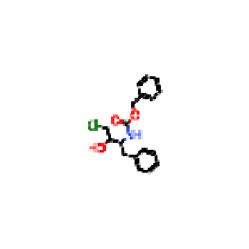 O=C(NC(Cc1ccccc1)C(O)CCl)OCc1ccccc1